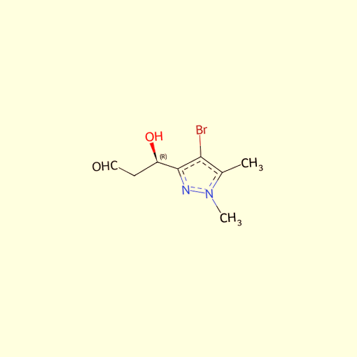 Cc1c(Br)c([C@H](O)CC=O)nn1C